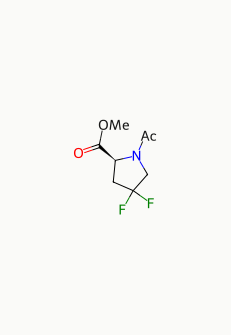 COC(=O)[C@@H]1CC(F)(F)CN1C(C)=O